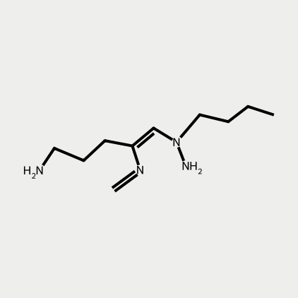 C=N/C(=C\N(N)CCCC)CCCN